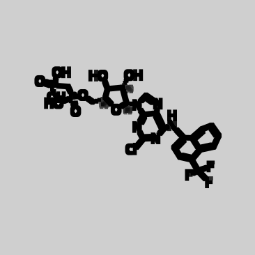 O=P(O)(O)CP(=O)(O)OC[C@H]1O[C@@H](n2cnc3c(Nc4ccc(C(F)(F)F)c5ccccc45)nc(Cl)nc32)[C@@H](O)C1O